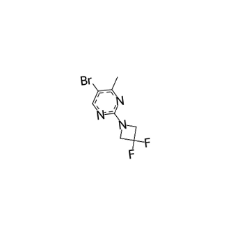 Cc1nc(N2CC(F)(F)C2)ncc1Br